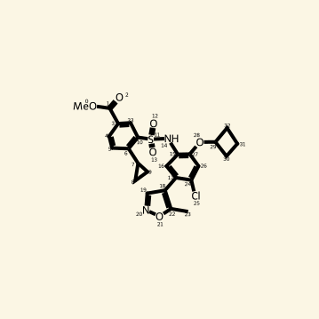 COC(=O)c1ccc(C2CC2)c(S(=O)(=O)Nc2cc(-c3cnoc3C)c(Cl)cc2OC2CCC2)c1